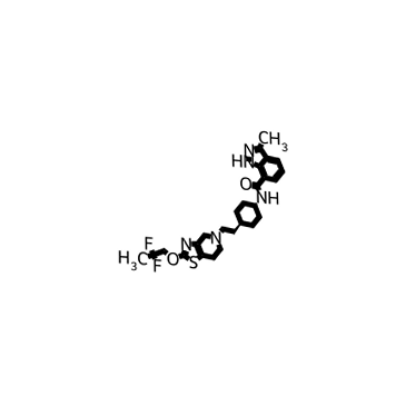 Cc1n[nH]c2c(C(=O)N[C@H]3CC[C@H](CCN4CCc5sc(OCC(C)(F)F)nc5C4)CC3)cccc12